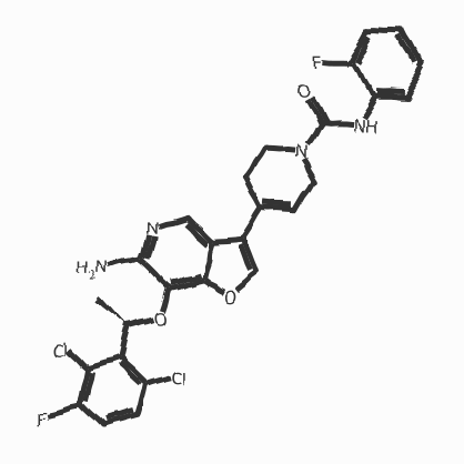 C[C@@H](Oc1c(N)ncc2c(C3=CCN(C(=O)Nc4ccccc4F)CC3)coc12)c1c(Cl)ccc(F)c1Cl